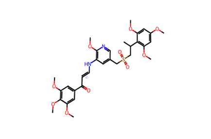 COc1cc(OC)c(C(C)CS(=O)(=O)Cc2cnc(OC)c(N/C=C/C(=O)c3cc(OC)c(OC)c(OC)c3)c2)c(OC)c1